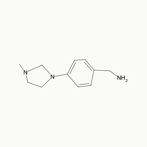 CN1CCN(c2ccc(CN)cc2)C1